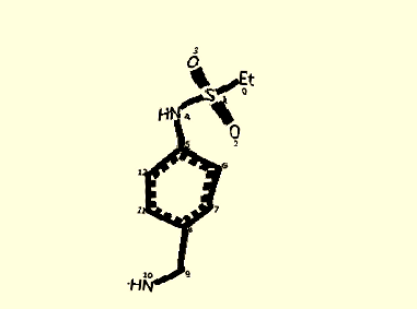 CCS(=O)(=O)Nc1ccc(C[NH])cc1